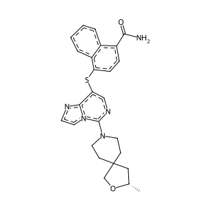 C[C@H]1CC2(CCN(c3ncc(Sc4ccc(C(N)=O)c5ccccc45)c4nccn34)CC2)CO1